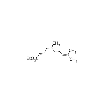 CCOC(=O)/C=C/C[C@@H](C)CCC=C(C)C